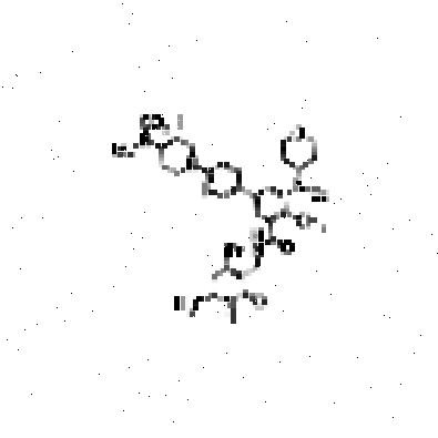 CCN(c1cc(-c2ccc(N3CCC(N(C(=O)O)C(C)(C)C)CC3)nc2)cc(C(=O)NCc2c(C(C)C)cc(C)[nH]c2=O)c1C)C1CCOCC1